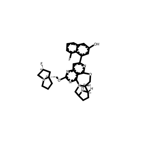 Oc1cc(-c2cc3nc(OC[C@]45CCCN4C[C@H](F)C5)nc4c3c(n2)OC[C@H]2[C@@H]3CCC(CN42)N3)c2c(F)cccc2c1